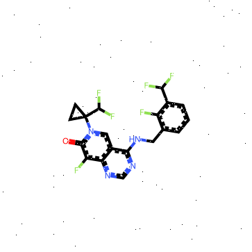 O=c1c(F)c2ncnc(NCc3cccc(C(F)F)c3F)c2cn1C1(C(F)F)CC1